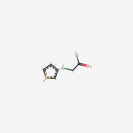 O=C(Cl)CCl.c1ccsc1